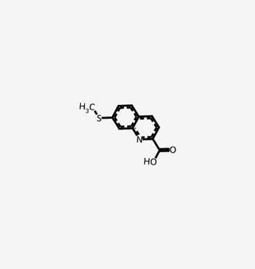 CSc1ccc2ccc(C(=O)O)nc2c1